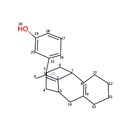 C/C(=C1\C2CCCC1C1=C(CCCC1)C2)c1cccc(O)c1